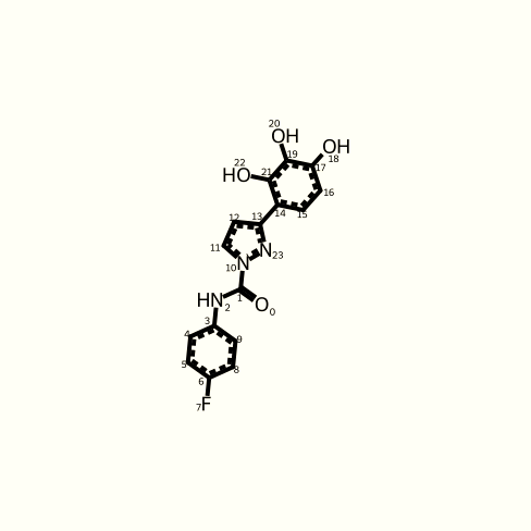 O=C(Nc1ccc(F)cc1)n1ccc(-c2ccc(O)c(O)c2O)n1